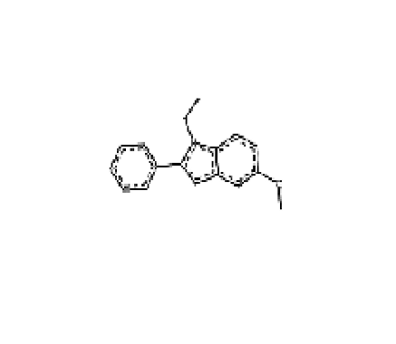 CCn1c(-c2ccccc2)cc2cc(OC)ccc21